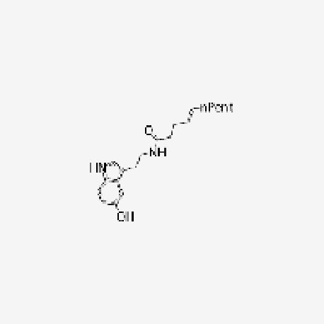 CCCCCC=CCCC(=O)NCCc1c[nH]c2ccc(O)cc12